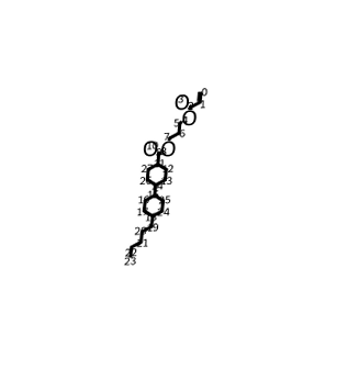 C=CC(=O)OCCCOC(=O)C1CCC(C2CCC(CCCCC)CC2)CC1